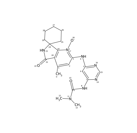 Cc1cc(Nc2cc(NC(=O)N(C)C)ncn2)[n+]([O-])c2c1C(=O)NC21CCCCC1